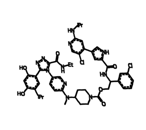 CCNC(=O)c1nnc(-c2cc(C(C)C)c(O)cc2O)n1-c1ccc(N(C)C2CCN(C(=O)OCC(NC(=O)c3cc(-c4cc(NC(C)C)ncc4Cl)c[nH]3)c3cccc(Cl)c3)CC2)nc1